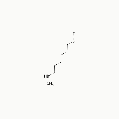 CBCCCCCCSF